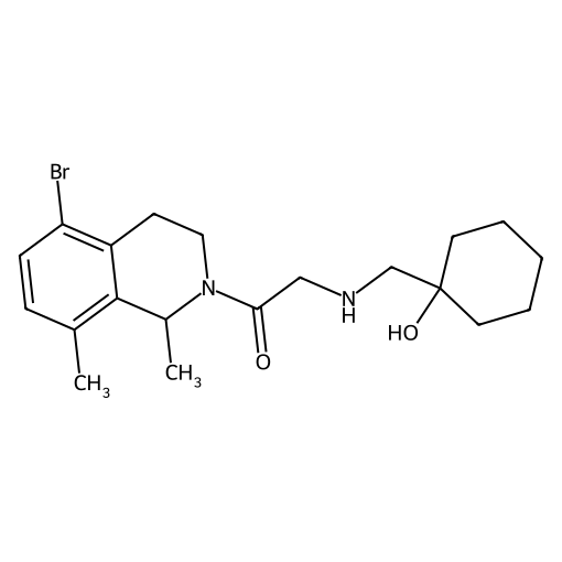 Cc1ccc(Br)c2c1C(C)N(C(=O)CNCC1(O)CCCCC1)CC2